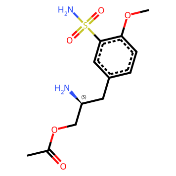 COc1ccc(C[C@H](N)COC(C)=O)cc1S(N)(=O)=O